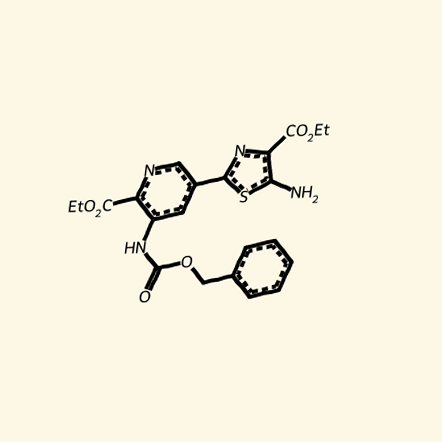 CCOC(=O)c1ncc(-c2nc(C(=O)OCC)c(N)s2)cc1NC(=O)OCc1ccccc1